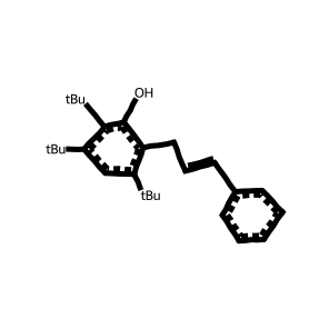 CC(C)(C)c1cc(C(C)(C)C)c(C(C)(C)C)c(O)c1CC=Cc1ccccc1